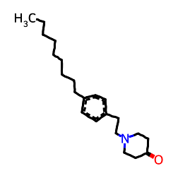 CCCCCCCCCc1ccc(CCN2CCC(=O)CC2)cc1